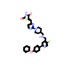 O=C1NC(=O)/C(=C/c2ccnc(N3CCC(CNCc4cc(-c5ccc(Oc6ccccc6)cc5)ncc4F)CC3)n2)S1